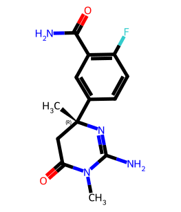 CN1C(=O)C[C@](C)(c2ccc(F)c(C(N)=O)c2)N=C1N